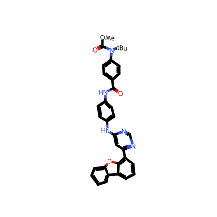 COC(=O)N(c1ccc(C(=O)Nc2ccc(Nc3cc(-c4cccc5c4oc4ccccc45)ncn3)cc2)cc1)C(C)(C)C